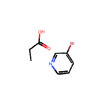 Brc1cccnc1.CCC(=O)O